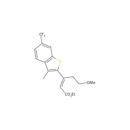 CCOC(=O)C=C(CCOC)c1sc2cc(C(F)(F)F)ccc2c1C